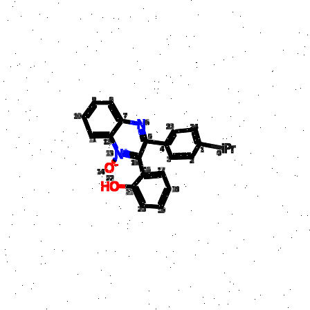 CC(C)c1ccc(-c2nc3ccccc3[n+]([O-])c2-c2ccccc2O)cc1